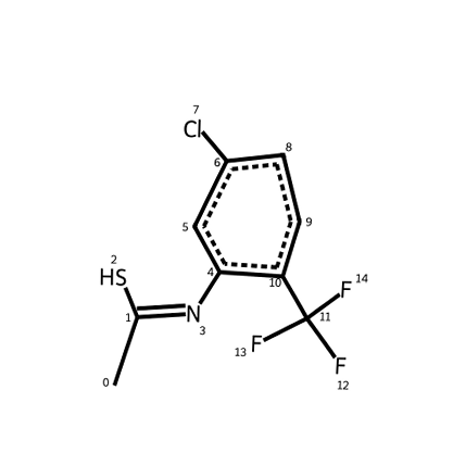 C/C(S)=N/c1cc(Cl)ccc1C(F)(F)F